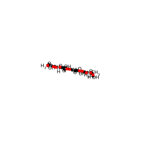 CC(=O)N(O)CCCCCNC(=O)CCC(=O)N(O)CCCCCNC(=O)CCC(=O)N(O)CCCCCNC(=O)C(C)(C)CCO